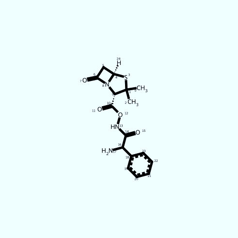 CC1(C)S[C@@H]2CC(=O)N2[C@H]1C(=O)ONC(=O)C(N)c1ccccc1